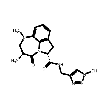 CN1C[C@H](N)C(=O)N2c3c(cccc31)C[C@@H]2C(=O)NCc1cn(C)nn1